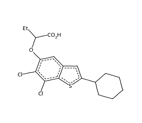 CCC(Oc1cc2cc(C3CCCCC3)sc2c(Cl)c1Cl)C(=O)O